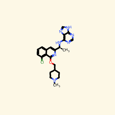 C[C@H](Nc1ncnc2[nH]cnc12)c1cc2cccc(Cl)c2c(OCC2CCN(C)CC2)n1